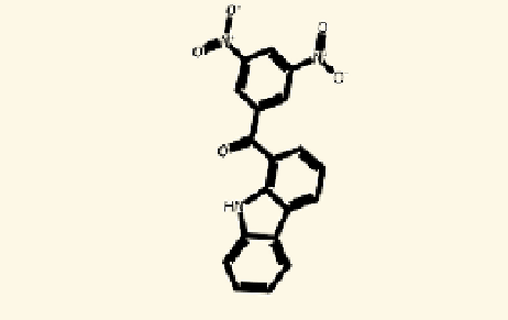 O=C(c1cc([N+](=O)[O-])cc([N+](=O)[O-])c1)c1cccc2c1[nH]c1ccccc12